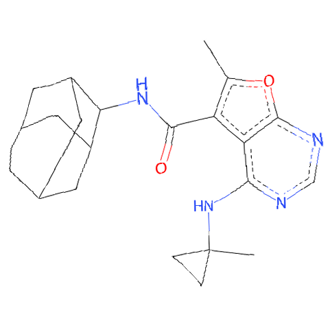 Cc1oc2ncnc(NC3(C)CC3)c2c1C(=O)NC1C2CC3CC(C2)CC1C3